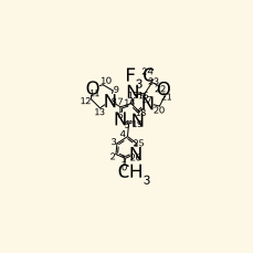 Cc1ccc(-c2nc(N3CCOCC3)c3nc4n(c3n2)CCOC4C(F)(F)F)cn1